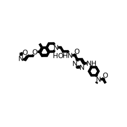 CC(=O)N(C)C1CCC(Nc2cc(C(=O)NC[C@H](O)CN3CCc4c(ccc(OCc5cnco5)c4C)C3)ncn2)CC1